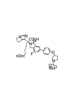 CCCCCCCCCCCCCCC(C(=O)O)(c1ncn2c1CCC2)N1Cc2c(F)cc(-c3ccc(O[C@H]4CCN(C(=O)OC(C)(C)C)C4)cc3)cc2C1=O